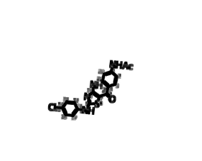 CC(=O)Nc1ccc(C(=O)c2sc(Nc3ccc(Cl)cc3)nc2N)cc1